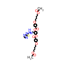 C=CC(=O)OCCCCCCOc1ccc(C(=O)Oc2ccc(OC(=O)c3ccc(OCCCCCCOC(=O)C=C)cc3)c(/C=N/Nc3nc4nccnc4s3)c2)cc1